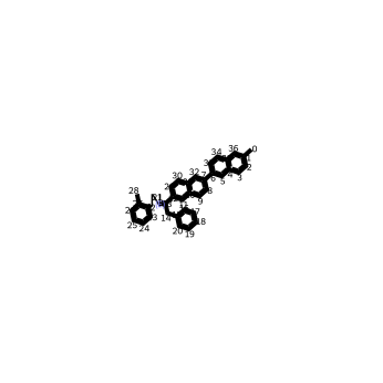 Cc1ccc2cc(-c3ccc4cc(/C(Cc5ccccc5)=N/c5ccccc5C)ccc4c3)ccc2c1